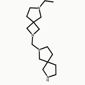 CCN1CCC2(C1)CN(CN1CCC3(CCNC3)C1)C2